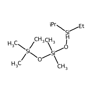 CC[SiH](O[Si](C)(C)O[Si](C)(C)C)C(C)C